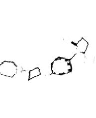 C[C@@H]1CCC(=O)N1c1ccc(O[C@H]2C[C@H](N3CCCCC3)C2)cc1